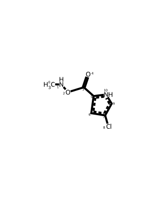 CNOC(=O)c1cc(Cl)c[nH]1